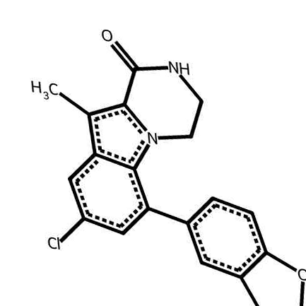 Cc1c2n(c3c(-c4ccc5c(c4)OCO5)cc(Cl)cc13)CCNC2=O